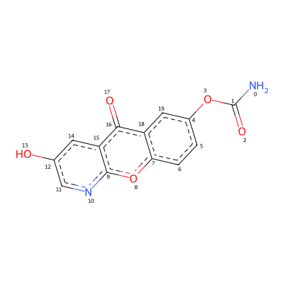 NC(=O)Oc1ccc2oc3ncc(O)cc3c(=O)c2c1